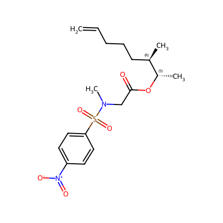 C=CCCC[C@@H](C)[C@H](C)OC(=O)CN(C)S(=O)(=O)c1ccc([N+](=O)[O-])cc1